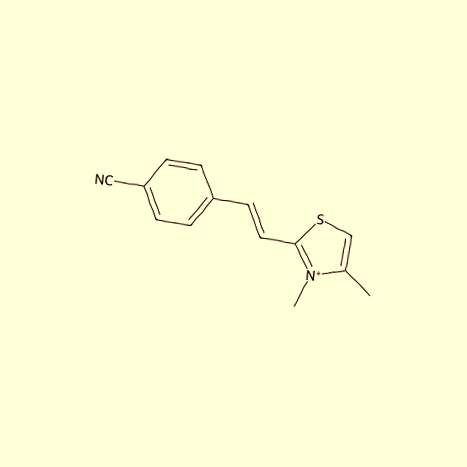 Cc1csc(C=Cc2ccc(C#N)cc2)[n+]1C